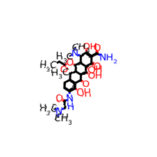 CCC(=O)OC1C2C(=C(O)C3(O)C(=O)C(C(N)=O)=C(O)C(N(C)C)C13)C(=O)c1c(ccc(NC(=O)CN(C)C)c1O)C2C